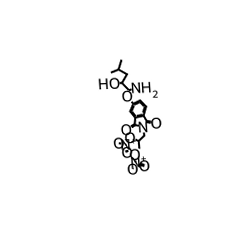 CC(C)CC(O)C(N)Oc1ccc2c(c1)C(=O)N(CC(CO[N+](=O)[O-])O[N+](=O)[O-])C2=O